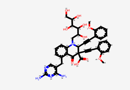 COc1ccccc1C#CC1N(CC(O)C(O)C(O)C(O)CO)c2cccc(Cc3cnc(N)nc3N)c2C(=O)C1(C#Cc1ccccc1OC)C(=O)O